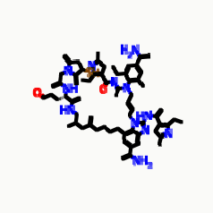 C=C(CCCCc1cc(C(=C)N)cc2nc(NC(=C)C3=C(CC)N=C(C)C3)n(C/C=C/CN(/C(C)=N/C(=O)C3=C(CC)N=C(C)C3)c3c(C)cc(C(=C)N)cc3CC)c12)CC(C)CNC(=C)[C@H](CCC=O)NC(=C)CN1C(=C)CC(S)C1=C